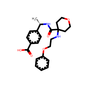 C[C@H](NC(=O)C1(NCCOc2ccccc2)CCOCC1)c1ccc(C(=O)O)cc1